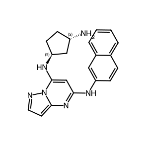 N[C@H]1CC[C@H](Nc2cc(Nc3ccc4ccccc4c3)nc3ccnn23)C1